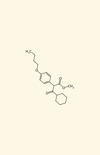 CCCCOc1ccc(C(C(=O)OC)C(=O)C2CCCCC2)cc1